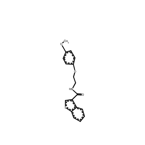 COc1ccc(OCCNC(=O)c2csc3ccccc23)cc1